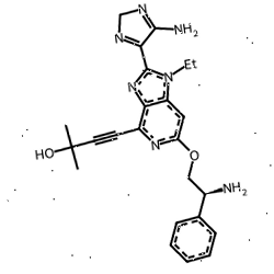 CCn1c(C2=NCN=C2N)nc2c(C#CC(C)(C)O)nc(OC[C@@H](N)c3ccccc3)cc21